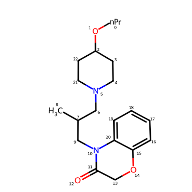 CCCOC1CCN(CC(C)CN2C(=O)COc3ccccc32)CC1